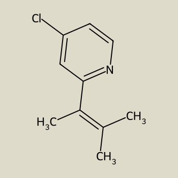 CC(C)=C(C)c1cc(Cl)ccn1